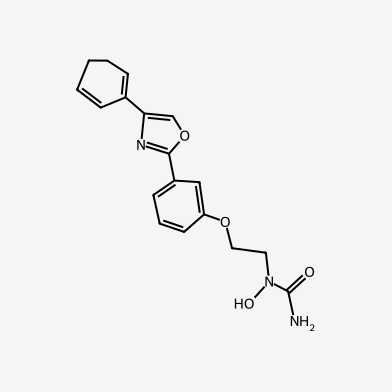 NC(=O)N(O)CCOc1cccc(-c2nc(C3=CCCC=C3)co2)c1